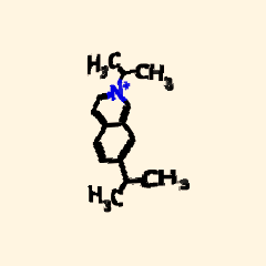 CC(C)c1ccc2cc[n+](C(C)C)cc2c1